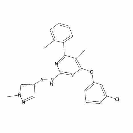 Cc1ccccc1-c1nc(NSc2cnn(C)c2)nc(Oc2cccc(Cl)c2)c1C